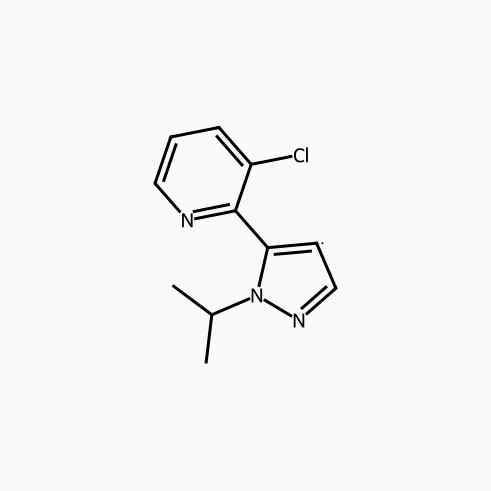 CC(C)n1nc[c]c1-c1ncccc1Cl